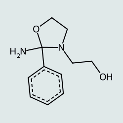 NC1(c2ccccc2)OCCN1CCO